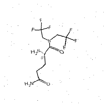 NC(=O)CC[C@H](N)C(=O)N(CC(F)(F)F)CC(F)(F)F